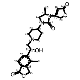 Cc1c([C@@H](O)CN2CCC(N3CC(C)N(C4=CC(=O)OC4)C3=O)CC2)ccc2c1COC2=O